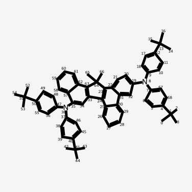 CC(C)(C)c1ccc(N(c2ccc(C(C)(C)C)cc2)c2ccc3c4c(c5ccccc5c3c2)-c2cc(N(c3ccc(C(C)(C)C)cc3)c3ccc(C(C)(C)C)cc3)c3ccccc3c2C4(C)C)cc1